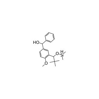 COc1ccc(C(O)c2ccccc2)cc1C(O[SiH](C)C)C(C)(C)C